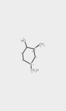 C[C@H]1CN(C(=O)O)CCC1O